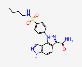 CCCCNS(=O)(=O)c1ccc(-n2nc(C(N)=O)c3ccc4[nH]ncc4c32)cc1